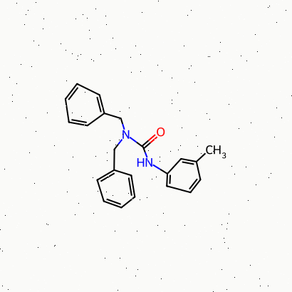 Cc1cccc(NC(=O)N(Cc2ccccc2)Cc2ccccc2)c1